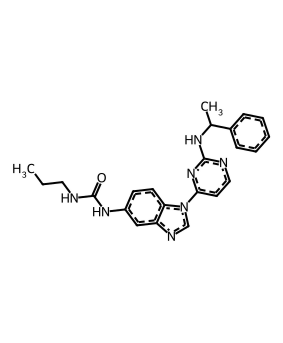 CCCNC(=O)Nc1ccc2c(c1)ncn2-c1ccnc(NC(C)c2ccccc2)n1